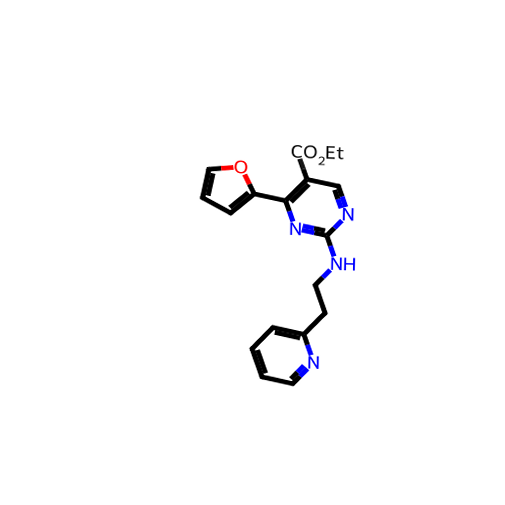 CCOC(=O)c1cnc(NCCc2ccccn2)nc1-c1ccco1